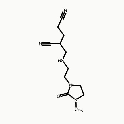 CN1CCN(CCNCC(C#N)CCC#N)C1=O